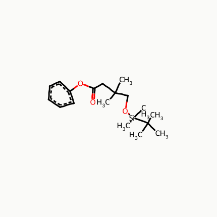 CC(C)(CO[Si](C)(C)C(C)(C)C)CC(=O)Oc1ccccc1